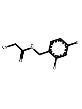 [C-]#[N+]CC(=O)NCc1ccc(Cl)cc1Cl